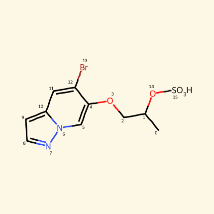 CC(COc1cn2nccc2cc1Br)OS(=O)(=O)O